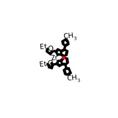 CCc1ccc(C2=Cc3c(-c4ccc(C)cc4)cccc3[CH]2[Zr][CH]2C(c3ccc(CC)o3)=Cc3c(-c4ccc(C)cc4)cccc32)o1